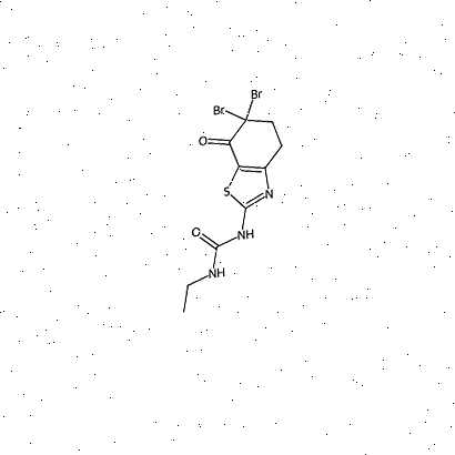 CCNC(=O)Nc1nc2c(s1)C(=O)C(Br)(Br)CC2